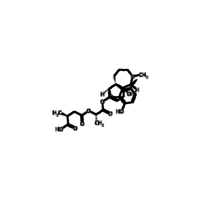 C[C@H](OC(=O)C[C@H](C)C(=O)O)C(=O)OC1=CC[C@@]2(O)[C@H]3Cc4ccc(O)c5c4[C@@]2(CCCN3C)[C@H]1O5